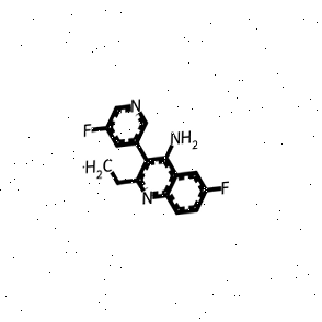 [CH2]Cc1nc2ccc(F)cc2c(N)c1-c1cncc(F)c1